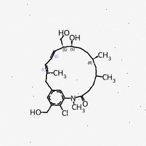 C/C1=C\C=C\[C@@H](CO)[C@@H](O)CC[C@@H](C)CC(C)CCC(=O)N(C)c2cc(cc(CO)c2Cl)C1